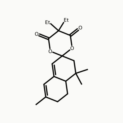 CCC1(CC)C(=O)OC2(C=C3C=C(C)CCC3C(C)(C)C2)OC1=O